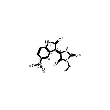 CCN1C(=O)/C(=C2/C(=O)Nc3ccc([N+](=O)[O-])cc32)SC1=S